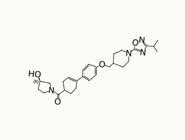 CC(C)c1noc(N2CCC(COc3ccc(C4=CCC(C(=O)N5CC[C@@H](O)C5)CC4)cc3)CC2)n1